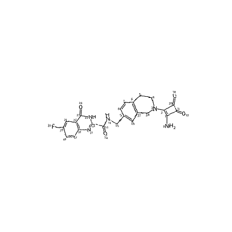 Nc1c(N2CCc3ccc(CNC(=O)c4nc5ccc(F)cc5c(=O)[nH]4)cc3C2)c(=O)c1=O